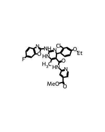 CCOc1ccc(C2N=C(Nc3nc4ccc(F)cc4o3)NC(C)=C2C(=O)Nc2cc(C(=O)OC)ccn2)c(Cl)c1